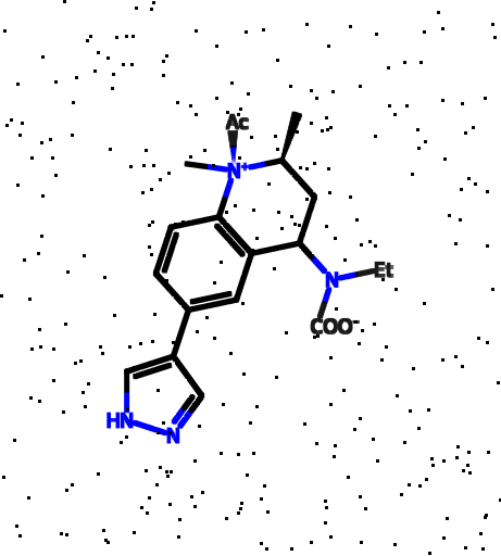 CCN(C(=O)[O-])C1C[C@H](C)[N@+](C)(C(C)=O)c2ccc(-c3cn[nH]c3)cc21